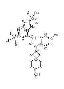 OC1CCC2(CC1)CN([C@H](CNc1cc(C(F)(F)F)nc3cc(C(F)(F)F)nn13)c1ccc(F)cc1)C2